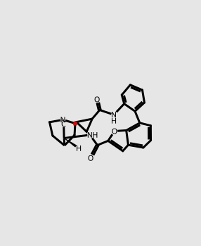 O=C(N[C@H]1CN2CCC1CC2)c1cc2cccc(-c3ccccc3NC(=O)C3CC3)c2o1